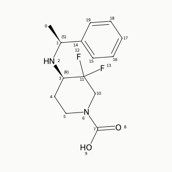 C[C@H](N[C@@H]1CCN(C(=O)O)CC1(F)F)c1ccccc1